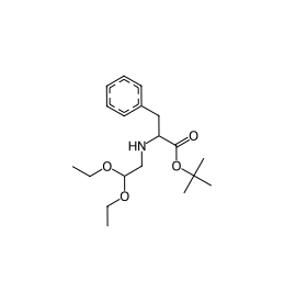 CCOC(CNC(Cc1ccccc1)C(=O)OC(C)(C)C)OCC